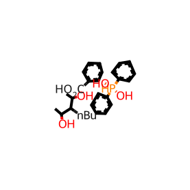 CCCCC(C(C)O)C(C)O.O=C(O)c1ccccc1.O[PH](O)(c1ccccc1)c1ccccc1